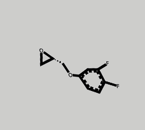 Fc1ccc(OC[C@@H]2CO2)cc1F